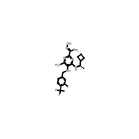 C[C@@H](Nc1nc(/C(N)=N/O)nc(N)c1NCc1ccc(C(F)(F)F)c(F)c1)C1CCC1